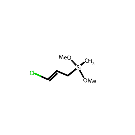 CO[Si](C)(CC=CCl)OC